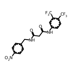 O=C(CC(=O)Nc1ccc(C(F)(F)F)c(C(F)(F)F)c1)NCc1ccc([N+](=O)[O-])cc1